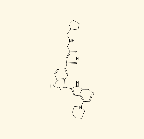 c1ncc(-c2ccc3[nH]nc(-c4cc5c(N6CCCCC6)cncc5[nH]4)c3c2)cc1CNCC1CCCC1